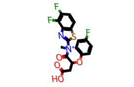 C[N+]1(c2nc3c(F)c(F)ccc3s2)C(=O)C(CC(=O)O)Oc2ccc(F)cc21